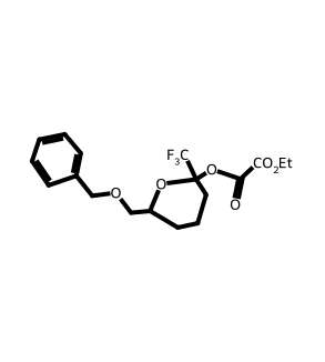 CCOC(=O)C(=O)OC1(C(F)(F)F)CCCC(COCc2ccccc2)O1